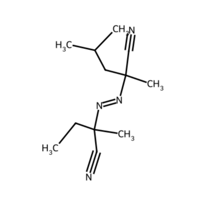 CCC(C)(C#N)N=NC(C)(C#N)CC(C)C